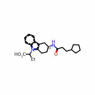 CCC(C(=O)O)n1c2c(c3ccccc31)C[C@@H](NC(=O)CCC1CCCC1)CC2